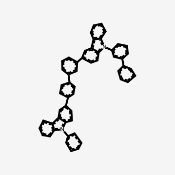 c1ccc(-c2cccc(-n3c4ccccc4c4cc(-c5cccc(-c6ccc(-c7ccc8c(c7)c7ccccc7n8-c7ccccc7)cc6)c5)ccc43)c2)cc1